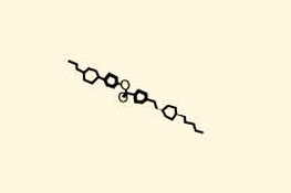 CCCCC[C@H]1CC[C@H](CCc2ccc(C(=O)Oc3ccc(C4CCC(CCC)CC4)cc3)cc2)CC1